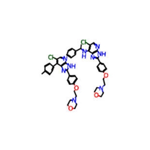 CC(Nc1c(Cl)cnc2[nH]c(-c3ccc(OCCN4CCOCC4)cc3)nc12)c1ccccc1.Cc1ccc(-c2c(Cl)cnc3[nH]c(-c4ccc(OCCN5CCOCC5)cc4)nc23)cc1